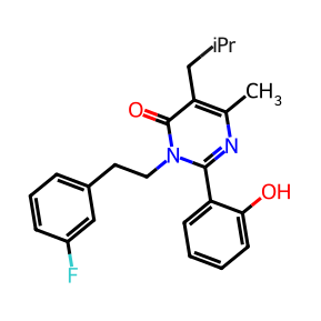 Cc1nc(-c2ccccc2O)n(CCc2cccc(F)c2)c(=O)c1CC(C)C